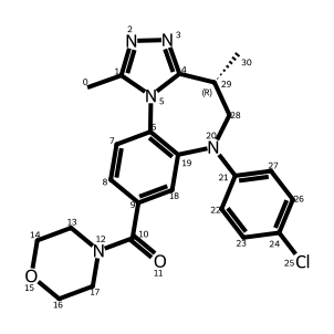 Cc1nnc2n1-c1ccc(C(=O)N3CCOCC3)cc1N(c1ccc(Cl)cc1)C[C@H]2C